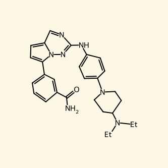 CCN(CC)C1CCN(c2ccc(Nc3ncc4ccc(-c5cccc(C(N)=O)c5)n4n3)cc2)CC1